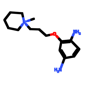 C[N+]1(CCCOc2cc(N)ccc2N)CCCCC1